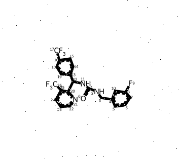 O=C(NCc1cccc(F)c1)NC(c1ccc(C(F)(F)F)cc1)c1ncccc1C(F)(F)F